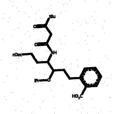 CCCCCCCCCCCCC(NC(=O)CC(=O)C(C)(C)C)C(CCc1ccccc1C(=O)O)OC(C)C